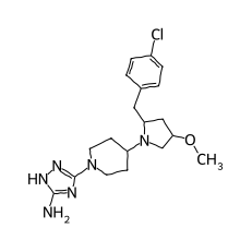 COC1CC(Cc2ccc(Cl)cc2)N(C2CCN(c3n[nH]c(N)n3)CC2)C1